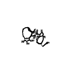 CC(C)C[C@@H]1CCO[C@@H]2[C@H](CN[C@@H]2C(=O)N[C@H]2C3OC(SCCC/C=C/[C@H]2C)C(O)C(O)C3O)C1